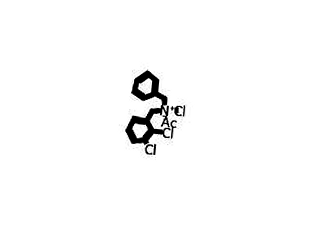 CC(=O)[N+](Cl)(Cc1ccccc1)Cc1cccc(Cl)c1Cl